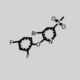 CS(=O)(=O)c1cnc(Oc2ccc(F)cc2F)c(Br)c1